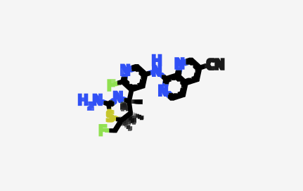 C[C@@H]1[C@@](C)(CF)SC(N)=N[C@]1(C)c1cc(Nc2nccc3cc(C#N)cnc23)cnc1F